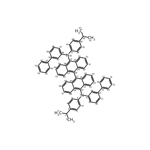 CC(C)c1ccc(N(c2cccc(-c3ccccc3)c2)c2c3ccccc3c(-c3c4ccccc4c(N(c4ccc(C(C)C)cc4)c4cccc(-c5ccccc5)c4)c4ccccc34)c3ccccc23)cc1